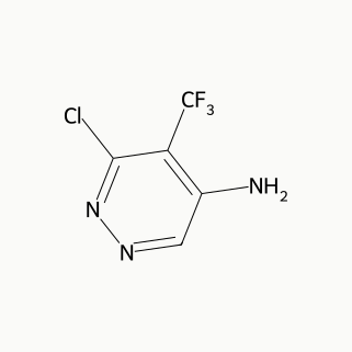 Nc1cnnc(Cl)c1C(F)(F)F